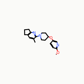 COc1ccc(OC2CCN(c3nc4c(cc3C)CCC4)CC2)cn1